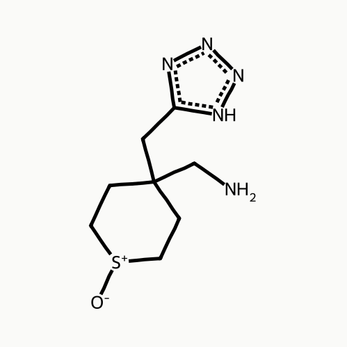 NCC1(Cc2nnn[nH]2)CC[S+]([O-])CC1